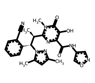 Cc1cc(C)n([C@H](c2ccccc2C#N)[C@@H](C)c2nc(C(=O)Nc3cnoc3)c(O)c(=O)n2C)n1